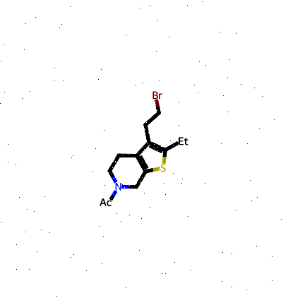 CCc1sc2c(c1CCBr)CCN(C(C)=O)C2